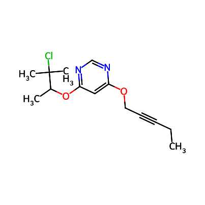 CCC#CCOc1cc(OC(C)C(C)(C)Cl)ncn1